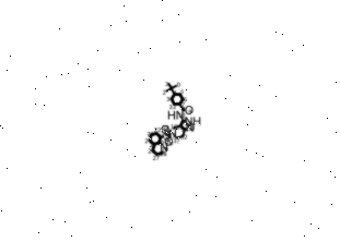 CC(C)(C)c1ccc(C(=O)Nc2[nH]nc3c2CN(S(=O)(=O)c2cccc4cccnc24)CC3)cc1